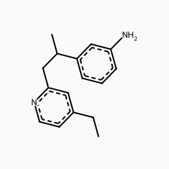 CCc1ccnc(CC(C)c2cccc(N)c2)c1